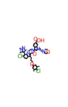 Cc1cc(OCCCc2c3n(c4c(-c5c(C)nn(C)c5C)c(Cl)ccc24)[C@H](C)CN(c2cn(CCN4CCOCC4)c4cc(C(=O)O)ccc24)C3=O)cc(C)c1Cl